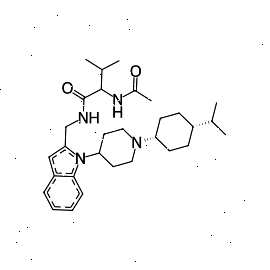 CC(=O)NC(C(=O)NCc1cc2ccccc2n1C1CCN([C@H]2CC[C@@H](C(C)C)CC2)CC1)C(C)C